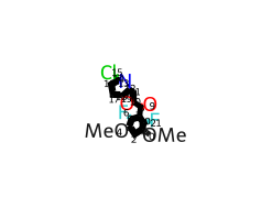 COc1cc(OC)c(F)c(C(=O)c2cc3nc(Cl)ccc3o2)c1F